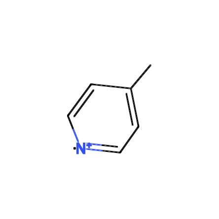 CC1=CC=[N+]C=C1